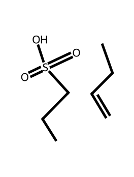 C=CCC.CCCS(=O)(=O)O